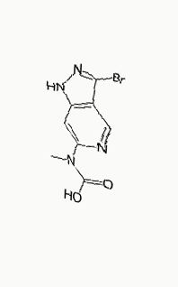 CN(C(=O)O)c1cc2[nH]nc(Br)c2cn1